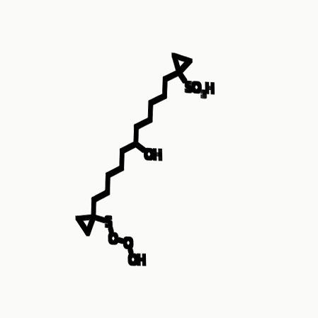 O=S(=O)(O)C1(CCCCCC(O)CCCCCC2(SOOO)CC2)CC1